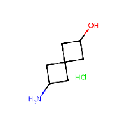 Cl.NC1CC2(C1)CC(O)C2